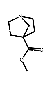 COC(=O)C12CCN(CC1)C2